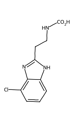 O=C(O)NCCc1nc2c(Cl)cccc2[nH]1